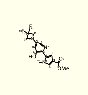 COC(=O)c1cc(-c2ncc(N3CC(F)(F)C3)cc2O)n(C)c1